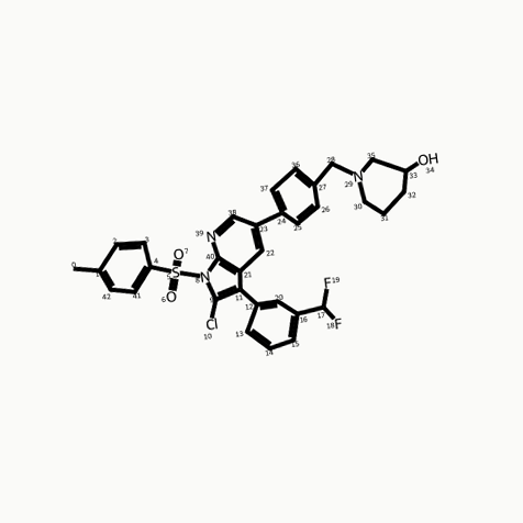 Cc1ccc(S(=O)(=O)n2c(Cl)c(-c3cccc(C(F)F)c3)c3cc(-c4ccc(CN5CCCC(O)C5)cc4)cnc32)cc1